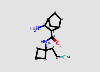 NC1C2CCC(C2)C1C(=O)NC1(CCF)CCC1